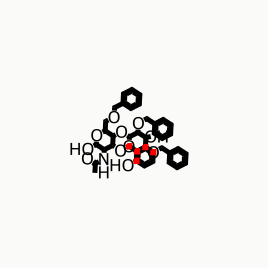 CC(=O)NC1C(O)OC(COCc2ccccc2)C(OC2OC(CO)C(OCc3ccccc3)C(O)C2OCc2ccccc2)C1OCc1ccccc1